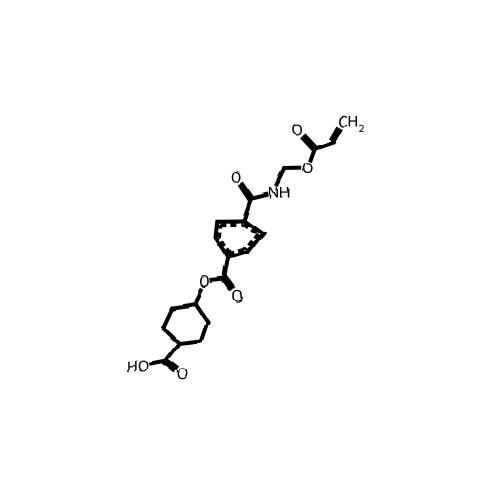 C=CC(=O)OCNC(=O)c1ccc(C(=O)OC2CCC(C(=O)O)CC2)cc1